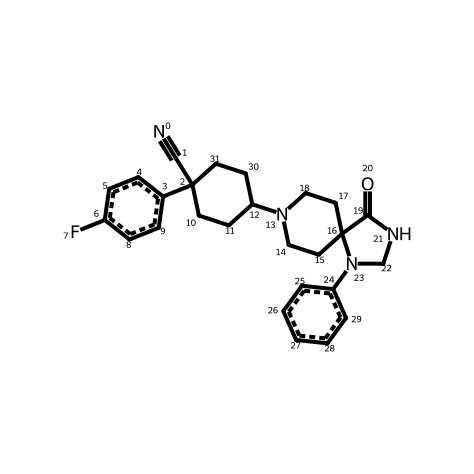 N#CC1(c2ccc(F)cc2)CCC(N2CCC3(CC2)C(=O)NCN3c2ccccc2)CC1